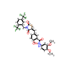 COc1ccc(NC(=O)c2cc(/C=C3/SC(=O)N(Cc4cc(C(F)(F)F)ccc4C(F)(F)F)C3=O)ccc2O)cc1OC